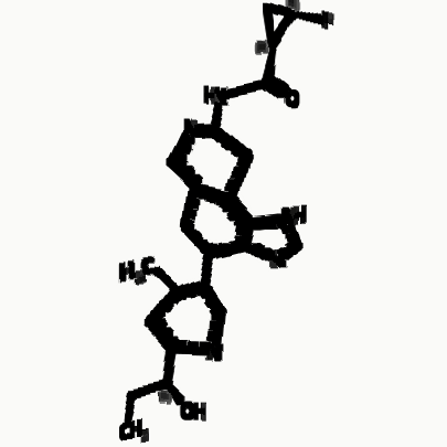 CC[C@H](O)c1cc(C)c(-c2cc3cnc(NC(=O)[C@H]4C[C@H]4F)cc3c3[nH]cnc23)cn1